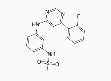 CS(=O)(=O)Nc1cccc(Nc2cc(-c3ccccc3F)ncn2)c1